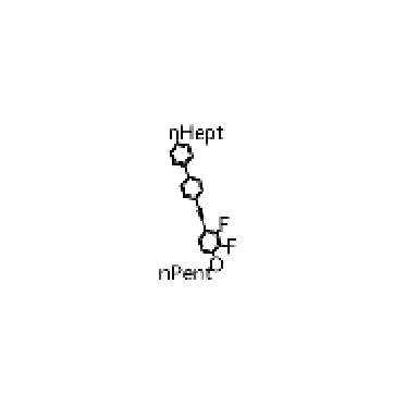 CCCCCCCc1ccc(-c2ccc(C#Cc3ccc(OCCCCC)c(F)c3F)cc2)cc1